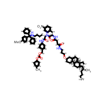 COc1ccc(C(NCCCC[C@H](NC(=O)[C@H](Cc2ccc([N+](=O)[O-])cc2)NC(=O)CCC(=O)NCCCO[C@H]2CC[C@@]3(C)C(=CC[C@H]4[C@@H]5CC[C@H]([C@H](C)CCCC(C)C)[C@@]5(C)CC[C@@H]43)C2)C(=O)Nc2ccc(COC(=O)Oc3ccc(C)cc3)cc2)(c2ccccc2)c2ccccc2)cc1